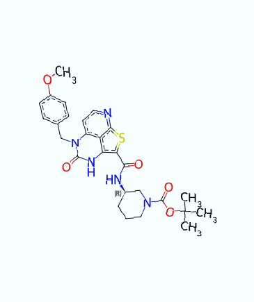 COc1ccc(CN2C(=O)Nc3c(C(=O)N[C@@H]4CCCN(C(=O)OC(C)(C)C)C4)sc4nccc2c34)cc1